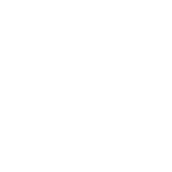 O=CC(Br)C1(c2ccc(Cl)cc2)CCC1